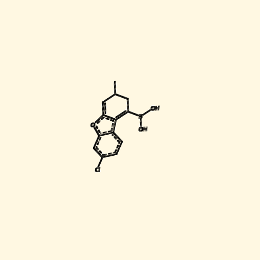 CC1C=c2oc3cc(Cl)ccc3c2=C(B(O)O)C1